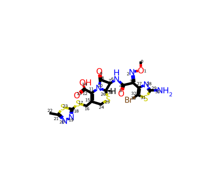 CON=C(C(=O)NC1C(=O)N2C(C(=O)O)=C(CSc3nnc(C)s3)CS[C@@H]12)c1nc(N)sc1Br